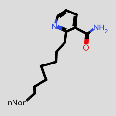 CCCCCCCCCCCCCCCCc1ncccc1C(N)=O